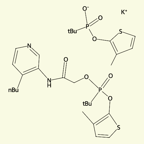 CCCCc1ccncc1NC(=O)COP(=O)(Oc1sccc1C)C(C)(C)C.Cc1ccsc1OP(=O)([O-])C(C)(C)C.[K+]